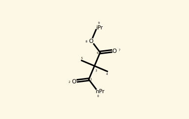 CCCC(=O)C(C)(C)C(=O)OC(C)C